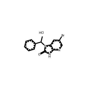 CC(c1ccccc1)n1c(=O)[nH]c2ncc(Br)cc21.Cl